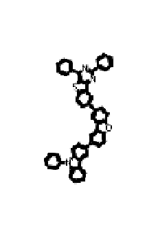 c1ccc(-c2nc(-c3ccccc3)c3sc4ccc(-c5ccc6oc7ccc(-c8ccc9c(c8)c8ccccc8n9-c8ccccc8)cc7c6c5)cc4c3n2)cc1